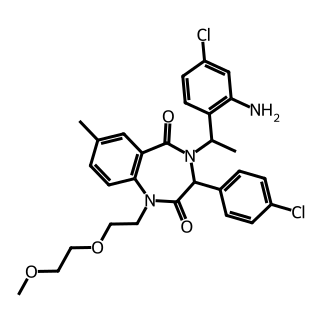 COCCOCCN1C(=O)C(c2ccc(Cl)cc2)N(C(C)c2ccc(Cl)cc2N)C(=O)c2cc(C)ccc21